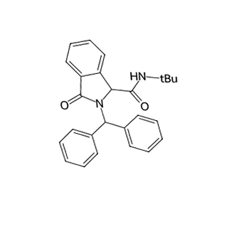 CC(C)(C)NC(=O)C1c2ccccc2C(=O)N1C(c1ccccc1)c1ccccc1